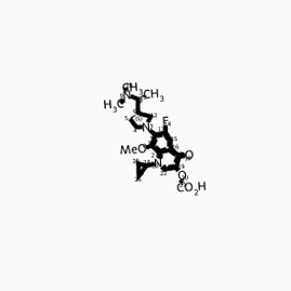 COc1c(N2CC[C@H]([C@@H](C)N(C)C)C2)c(F)cc2c(=O)c(OC(=O)O)cn(C3CC3)c12